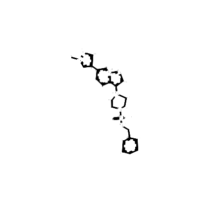 Cn1cc(-c2ccc3c(N4CCN(S(=O)(=O)NCc5ccccc5)CC4)cnn3c2)cn1